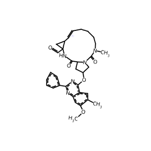 COc1cc2nc(-c3ccccc3)nc(OC3CC4C(=O)NC5([C]=O)CC5/C=C/CCCCN(C)C(=O)N4C3)c2cc1C